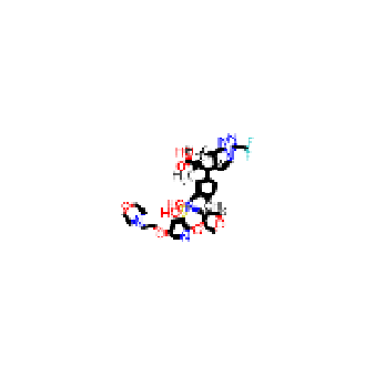 Cc1ccc(C(c2ccn3c(C(F)F)nnc3c2C)C(C)(C)C(=O)O)cc1CN1CC2(CCOCC2)Oc2ncc(OCCN3CCOCC3)cc2S1(O)O